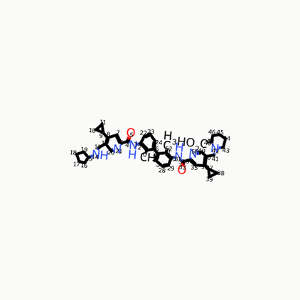 Cc1c(NC(=O)c2cc(C3CC3)c(CNC3CCCC3)cn2)cccc1-c1cccc(NC(=O)c2cc(C3CC3)c(CN3CCCC[C@H]3C(=O)O)cn2)c1C